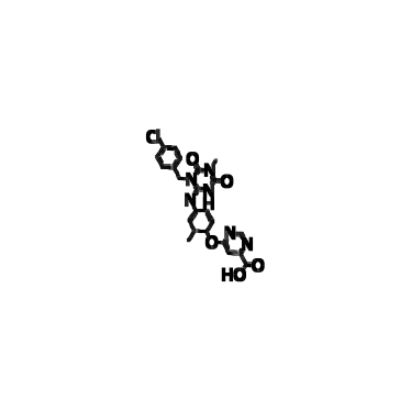 CC1C=C(/N=c2\[nH]c(=O)n(C)c(=O)n2Cc2ccc(Cl)cc2)C=CC1Oc1cc(C(=O)O)ncn1